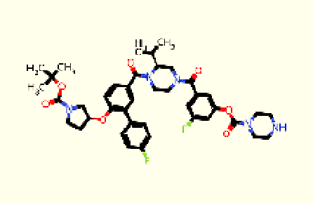 CC(C)[C@H]1CN(C(=O)c2cc(F)cc(OC(=O)N3CCNCC3)c2)CCN1C(=O)c1ccc(O[C@H]2CCN(C(=O)OC(C)(C)C)C2)c(-c2ccc(F)cc2)c1